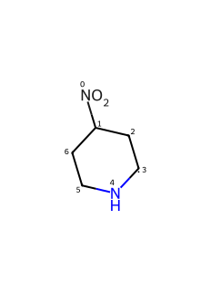 O=[N+]([O-])C1C[CH]NCC1